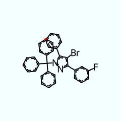 Fc1cccc(-c2nn(C(c3ccccc3)(c3ccccc3)c3ccccc3)c(-c3ccccc3)c2Br)c1